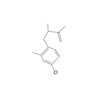 C=C(C)C(C)Cc1ccc(Cl)cc1C